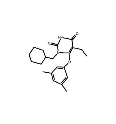 CCc1c(Oc2cc(C)cc(C)c2)n(CC2CCCCC2)c(=O)[nH]c1=O